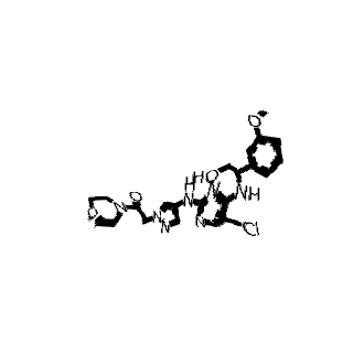 COc1cccc(C(CO)Nc2nc(Nc3cnn(CC(=O)N4CCOCC4)c3)ncc2Cl)c1